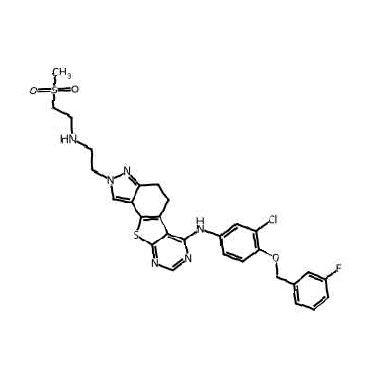 CS(=O)(=O)CCNCCn1cc2c(n1)CCc1c-2sc2ncnc(Nc3ccc(OCc4cccc(F)c4)c(Cl)c3)c12